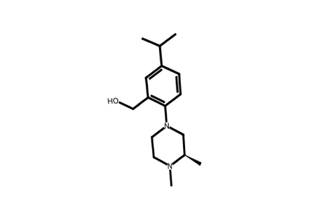 CC(C)c1ccc(N2CCN(C)[C@H](C)C2)c(CO)c1